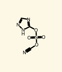 N#COS(=O)(=O)Oc1ncn[nH]1